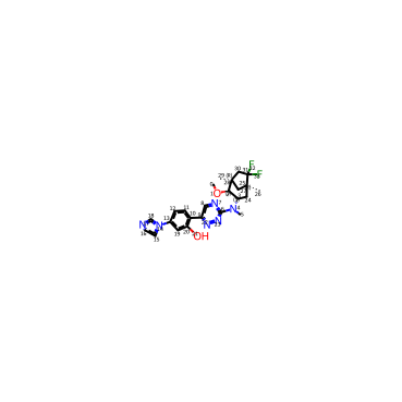 CO[C@@H]1[C@@H](N(C)c2ncc(-c3ccc(-n4ccnc4)cc3O)nn2)C[C@@]2(C)C[C@]1(C)CC2(F)F